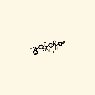 NC(=O)C(NC1CCC(c2c[nH]c3ccccc23)CC1)C1CCN(C(=O)Nc2ccc(F)cc2)CC1